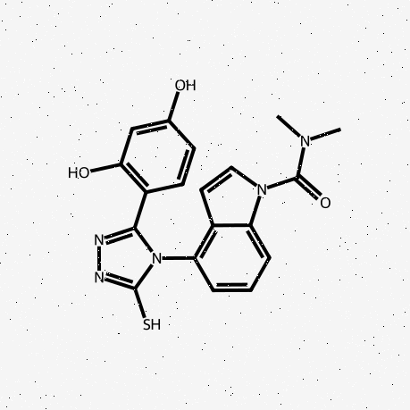 CN(C)C(=O)n1ccc2c(-n3c(S)nnc3-c3ccc(O)cc3O)cccc21